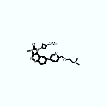 CO[C@H]1C[C@@H](n2c(=O)n(C)c3nnc4ccc(-c5ccc(COCCN(C)C)nc5)cc4c32)C1